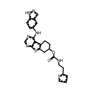 O=C(NCCc1cccs1)OC1CCc2c(sc3ncnc(Nc4ccc5[nH]ncc5c4)c23)C1